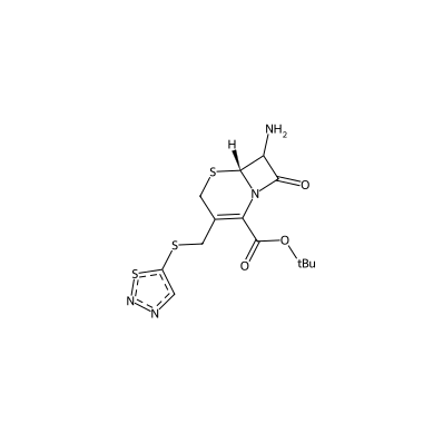 CC(C)(C)OC(=O)C1=C(CSc2cnns2)CS[C@@H]2C(N)C(=O)N12